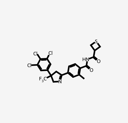 Cc1cc(C2=NCC(c3cc(Cl)c(Cl)c(Cl)c3)(C(F)(F)F)C2)ccc1C(=O)NC(=O)C1CSC1